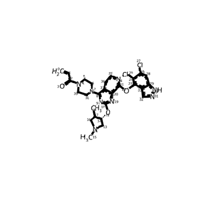 C=CC(=O)N1CCN(c2nc(O[C@@H]3CN(C)CC3C)nc3c(Oc4c(Cl)c(Cl)cc5[nH]ncc45)nccc23)CC1